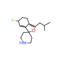 CC(C)CC1=C2CCC(F)C=C2C2(CCNCC2)O1